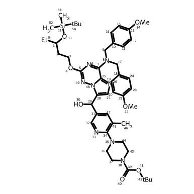 CCC(CCOc1nc(N(Cc2ccc(OC)cc2)Cc2ccc(OC)cc2)c2ncc(C(O)c3cnc(N4CCN(C(=O)OC(C)(C)C)CC4)c(C)c3)n2n1)O[Si](C)(C)C(C)(C)C